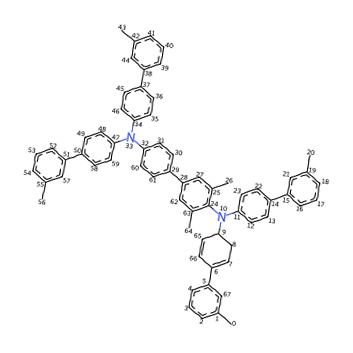 Cc1cccc(C2=CCC(N(c3ccc(-c4cccc(C)c4)cc3)c3c(C)cc(-c4ccc(N(c5ccc(-c6cccc(C)c6)cc5)c5ccc(-c6cccc(C)c6)cc5)cc4)cc3C)C=C2)c1